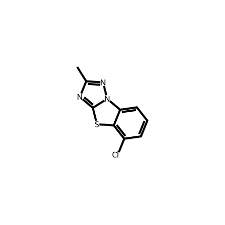 Cc1nc2sc3c(Cl)cccc3n2n1